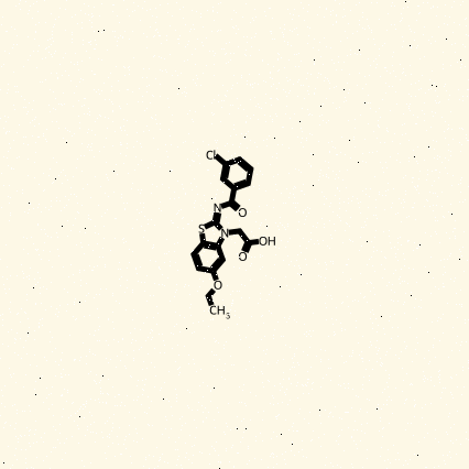 CCOc1ccc2sc(=NC(=O)c3cccc(Cl)c3)n(CC(=O)O)c2c1